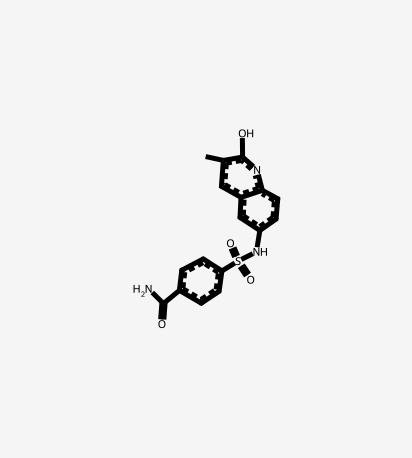 Cc1cc2cc(NS(=O)(=O)c3ccc(C(N)=O)cc3)ccc2nc1O